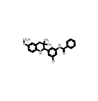 CC1(C)Cc2cc(OC(=O)O)ccc2NC1c1cc(Cl)cc(NC(=O)c2ccccc2)c1